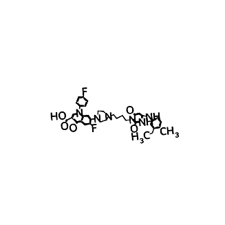 CCc1cc(Nc2cc(=O)n(CCCCN3CCN(c4cc5c(cc4F)c(=O)c(C(=O)O)cn5-c4ccc(F)cc4)CC3)c(=O)[nH]2)ccc1C